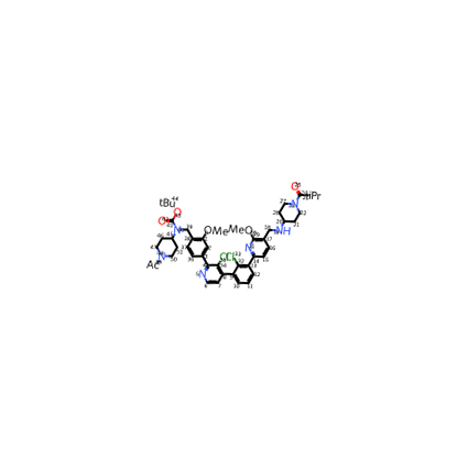 COc1cc(-c2nccc(-c3cccc(-c4ccc(CNC5CCN(C(=O)C(C)C)CC5)c(OC)n4)c3Cl)c2Cl)ccc1CN(C(=O)OC(C)(C)C)C1CCN(C(C)=O)CC1